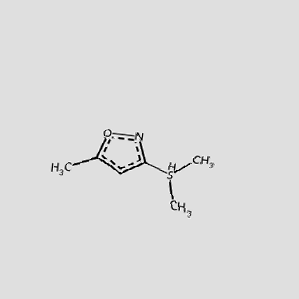 Cc1cc([SH](C)C)no1